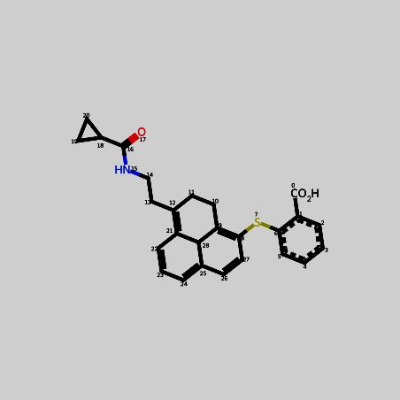 O=C(O)c1ccccc1SC1=C2CCC(CCNC(=O)C3CC3)=C3C=CC=C(C=C1)C32